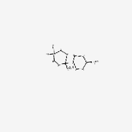 CO[C@H]1CC[C@H](C2(C(=O)O)CCC(F)(F)CC2)CC1